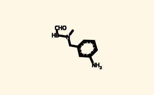 CN(BC=O)Cc1cccc(N)c1